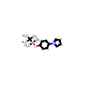 CC(C)(C)[Si](C)(C)Oc1ccc(-n2cccc2)cc1